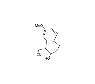 COc1ccc2c(c1)C(CC#N)C(O)CC2